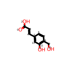 O=C(O)C=Cc1ccc(CO)c(O)c1